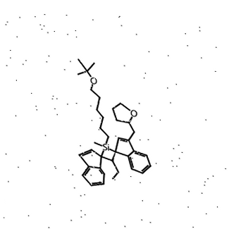 CCC1C2(C=Cc3ccccc32)[Si](C)(CCCCCCOC(C)(C)C)[C@@]12C=C(CC1CCCO1)c1ccccc12